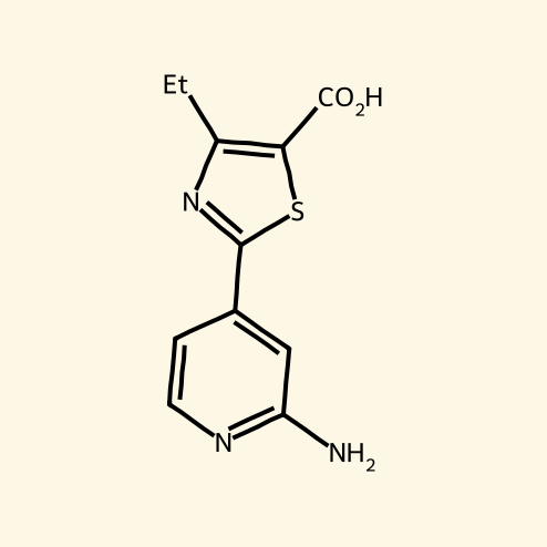 CCc1nc(-c2ccnc(N)c2)sc1C(=O)O